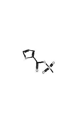 CS(=O)(=O)OC(=O)c1cccs1